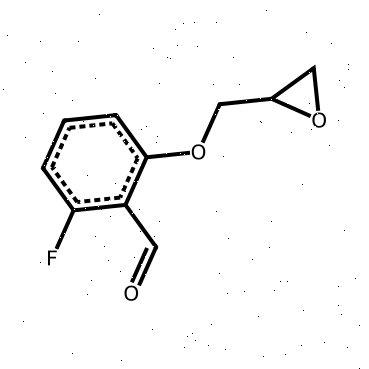 O=Cc1c(F)cccc1OCC1CO1